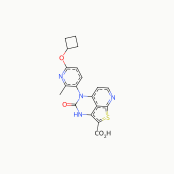 Cc1nc(OC2CCC2)ccc1N1C(=O)Nc2c(C(=O)O)sc3nccc1c23